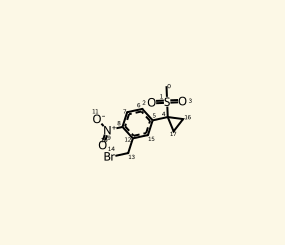 CS(=O)(=O)C1(c2ccc([N+](=O)[O-])c(CBr)c2)CC1